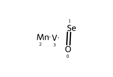 O=[Se].[Mn].[V]